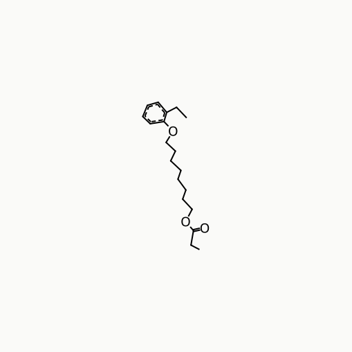 CCC(=O)OCCCCCCCCOc1ccccc1CC